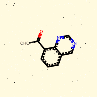 O=CC(=O)c1cccc2cncnc12